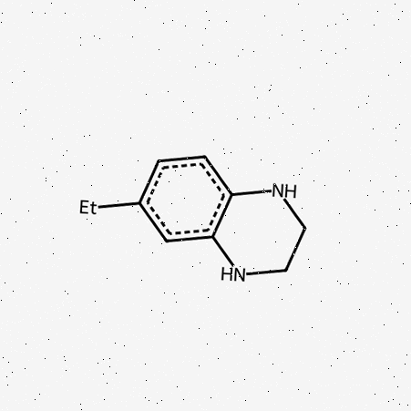 CCc1ccc2c(c1)NCCN2